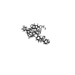 Cc1cc2coccc-2c1NC(N[C@H]1CCCCN(CC(=O)N2CCCC2)C1=O)=C(C#N)C(=O)c1cccc(C(=O)Nc2ccncc2)c1